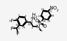 CN(C[C@@H](N)c1ccc(F)c(C(F)F)c1)S(=O)(=O)c1ccc([N+](=O)[O-])cc1